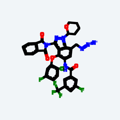 [N-]=[N+]=NCc1cc(NC(=O)c2cc(F)cc(C(F)(F)F)c2)c(Oc2cc(F)ccc2Cl)c2c(N3C(=O)c4ccccc4C3=O)nn(C3CCCCO3)c12